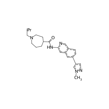 CC(C)CN1CCCC(C(=O)Nc2cc3cc(-c4cnn(C)c4)ccc3cn2)CC1